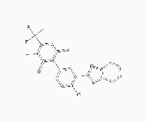 Cn1c(C(F)(F)F)cc(=O)n(-c2ccc(Cl)c(-c3nc4ccccc4o3)c2)c1=O